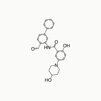 O=Cc1ccc(-c2ccccc2)cc1NC(=O)c1cc(N2CCC(O)CC2)ccc1O